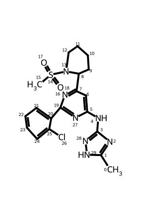 Cc1nc(Nc2cc(C3CCCCN3S(C)(=O)=O)nc(-c3ccccc3Cl)n2)n[nH]1